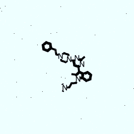 Cc1nc(-c2c(C)n(CCCN(C)C)c3ccccc23)cc(N2CCN(CCc3ccccc3)CC2)n1